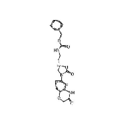 O=C1COc2ccc(N3C[C@H](CCNC(=O)OCc4ccccc4)OC3=O)nc2N1